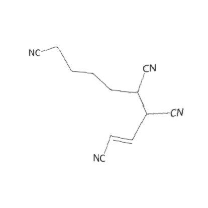 N#CC=CC(C#N)C(C#N)CCCCC#N